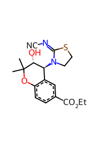 CCOC(=O)c1ccc2c(c1)[C@H](N1CCS/C1=N/C#N)[C@@H](O)C(C)(C)O2